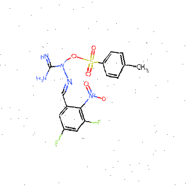 Cc1ccc(S(=O)(=O)ON(N=Cc2cc(F)cc(F)c2[N+](=O)[O-])C(=N)N)cc1